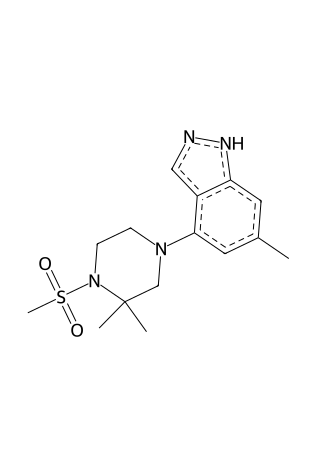 Cc1cc(N2CCN(S(C)(=O)=O)C(C)(C)C2)c2cn[nH]c2c1